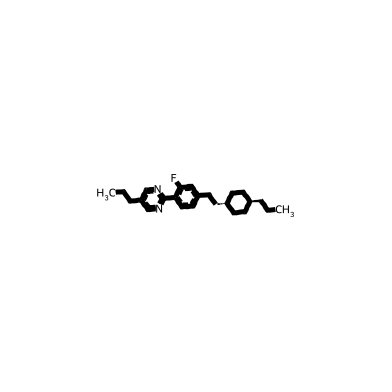 CCCc1cnc(-c2ccc(CC[C@H]3CC[C@H](CCC)CC3)cc2F)nc1